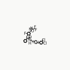 O=C(NCCN1CCN(c2ccc(Cl)c(Cl)c2)CC1)N(Cc1ccc(-c2nnc(C(F)F)o2)cc1F)c1ccccc1